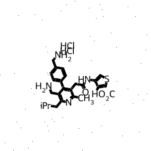 Cc1nc(CC(C)C)c(CN)c(-c2ccc(CN)cc2)c1CC(=O)Nc1cscc1C(=O)O.Cl.Cl